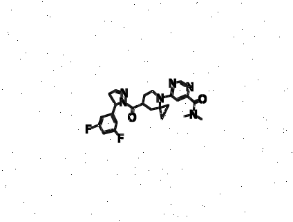 CN(C)C(=O)c1cc(N2CCC(C(=O)N3N=CCC3c3cc(F)cc(F)c3)CC23CC3)ncn1